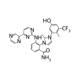 Cc1c(N2C=CN(c3c(Nc4nccc(-c5cnccn5)n4)cccc3C(N)=O)C2C)cc(O)cc1C(F)(F)F